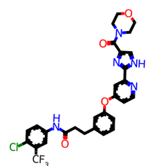 O=C(CCc1cccc(Oc2ccnc(-c3nc(C(=O)N4CCOCC4)c[nH]3)c2)c1)Nc1ccc(Cl)c(C(F)(F)F)c1